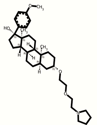 COc1ccc([C@]2(O)CC[C@H]3[C@@H]4CC[C@@H]5C[C@@H](OCCOCCN6CCCC6)CC[C@]5(C)[C@H]4CC[C@@]32C)cc1